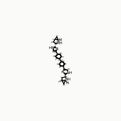 C[C@@]12C[C@@H](c3nc(-c4ccc(-c5ccc(-c6c[nH]c([C@@H]7CC8C[C@H]8N7)n6)cc5)cc4)c[nH]3)N[C@@H]1C2